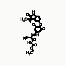 CCOC(=O)NC(=O)C(C#N)=NNc1cc(Cl)c(Oc2ccc3c(c2)C2(CC2C)C(=O)N3)c(Cl)c1